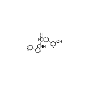 Oc1cncc(-c2ccc3[nH]nc(-c4cc5c(-c6cccnc6)cccc5[nH]4)c3c2)c1